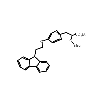 CCCCOC(Cc1ccc(OCCC2c3ccccc3-c3ccccc32)cc1)C(=O)OCC